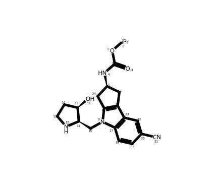 CC(C)OC(=O)N[C@H]1Cc2c(n(C[C@H]3NCC[C@H]3O)c3ccc(C#N)cc23)C1